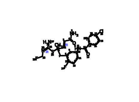 C[C@](/C=C/C(N)=O)(Cc1cc(NC(=O)c2ccc(Cl)cn2)ccc1F)S/C(N)=N\CF